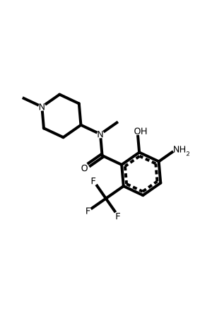 CN1CCC(N(C)C(=O)c2c(C(F)(F)F)ccc(N)c2O)CC1